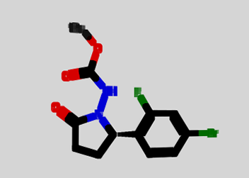 CC(C)(C)OC(=O)NN1C(=O)CC[C@H]1c1ccc(Br)cc1F